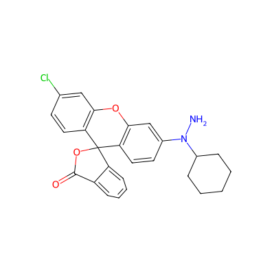 NN(c1ccc2c(c1)Oc1cc(Cl)ccc1C21OC(=O)c2ccccc21)C1CCCCC1